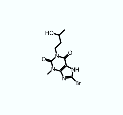 CC(O)CCn1c(=O)c2[nH]c(Br)nc2n(C)c1=O